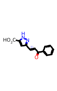 O=C(/C=C/c1cc(C(=O)O)[nH]n1)c1ccccc1